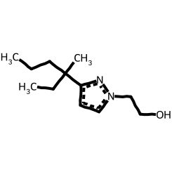 CCCC(C)(CC)c1ccn(CCO)n1